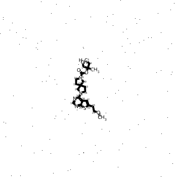 CCC(C)(CC)OC(=O)N1CCC2(CCN(c3ncnc4sc(CCOC)cc34)C2)C1